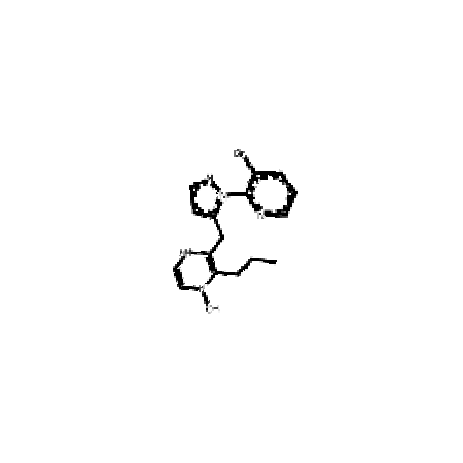 CCCC1=C(Cc2ccnn2-c2ncccc2Br)NC=CN1O